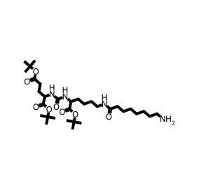 CC(C)(C)OC(=O)CCC(NC(=O)NC(CCCCNC(=O)CCCCCCCN)C(=O)OC(C)(C)C)C(=O)OC(C)(C)C